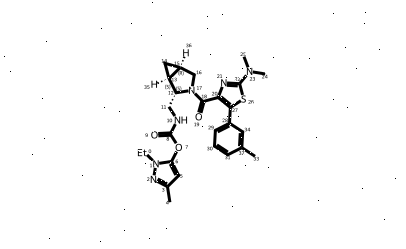 CCn1nc(C)cc1OC(=O)NC[C@@H]1[C@H]2C[C@H]2CN1C(=O)c1nc(N(C)C)sc1-c1cccc(C)c1